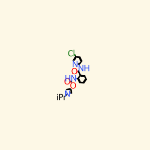 CC(C)N1CC(OC(=O)Nc2ccccc2C(=O)Nc2ccc(Cl)cn2)C1